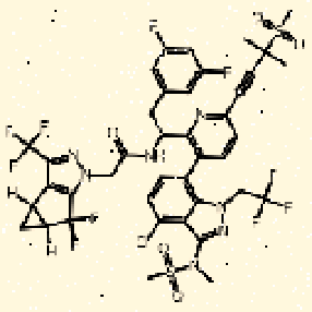 CN(c1nn(CC(F)(F)F)c2c(-c3ccc(C#CC(C)(C)S(C)(=O)=O)nc3[C@H](Cc3cc(F)cc(F)c3)NC(=O)Cn3nc(C(F)(F)F)c4c3C(F)(F)[C@@H]3C[C@H]43)ccc(Cl)c12)S(C)(=O)=O